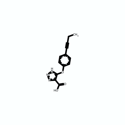 CCC#Cc1ccc(Oc2[nH]nnc2C(=O)O)cc1